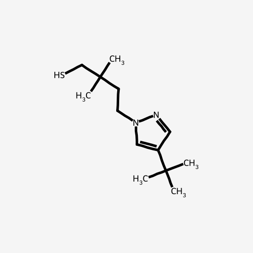 CC(C)(CS)CCn1cc(C(C)(C)C)cn1